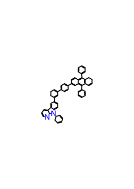 C1=CCC(n2c3ccc(C4=CC(c5ccc(-c6ccc7c(-c8ccccc8)c8c(c(-c9ccccc9)c7c6)C=CCC8)cc5)=CCC4)cc3c3cccnc32)C=C1